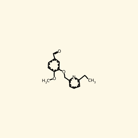 CCc1cccc(COc2cc(C=O)ccc2OC)n1